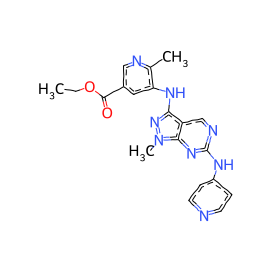 CCOC(=O)c1cnc(C)c(Nc2nn(C)c3nc(Nc4ccncc4)ncc23)c1